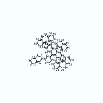 c1cc(-c2ccc3ccccc3c2)cc(-c2c3cc(N4c5ccccc5CCc5ccccc54)ccc3c(-c3cccc4ccccc34)c3cc(N4c5ccccc5CCc5ccccc54)ccc23)c1